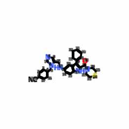 N#Cc1ccc(Cn2cncc2CNc2ccc3[nH]c(C(=O)N4CCSCC4)c(-c4ccccc4)c3c2)cc1